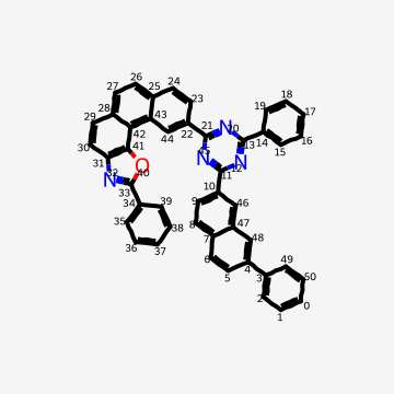 c1ccc(-c2ccc3ccc(-c4nc(-c5ccccc5)nc(-c5ccc6ccc7ccc8nc(-c9ccccc9)oc8c7c6c5)n4)cc3c2)cc1